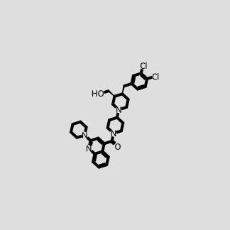 O=C(c1cc(N2CCCCC2)nc2ccccc12)N1CCC(N2CC[C@H](Cc3ccc(Cl)c(Cl)c3)[C@H](CO)C2)CC1